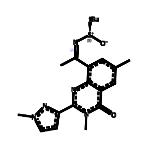 C/C(=N/[S@+]([O-])C(C)(C)C)c1cc(C)cc2c(=O)n(C)c(-c3ccn(C)n3)nc12